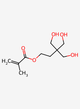 C=C(C)C(=O)OCCC(CO)(CO)CO